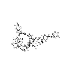 Cc1c(Cl)c2c(Cl)c(C)c1-c1c(-c3ccc(F)cc3)sc3ncnc(c13)O[C@@H](C(=O)OC(C)(C)C)Cc1cc(ccc1OCc1ccnc(-c3ccc(OC[C@@H]4CN(C)CCO4)cc3)n1)OC[C@@H](CN1CCN(C)CC1)O2